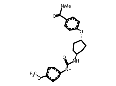 CNC(=O)c1ccc(O[C@H]2CC[C@H](NC(=O)Nc3ccc(OC(F)(F)F)cc3)CC2)cc1